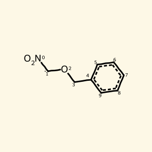 O=[N+]([O-])[CH]OCc1ccccc1